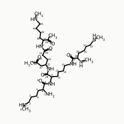 CNCCCCC(N)C(=O)NC(CCCCNC(=O)C(CCCCNC)NC)C(=O)NC(CCC(=O)NC(CCCCNC)C(C)=O)CC(C)=O